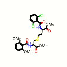 COC(=O)[C@H](CCSC[C@@H](NC(=O)c1c(OC)cccc1OC)C(=O)OC)NC(=O)c1c(Cl)cccc1Cl